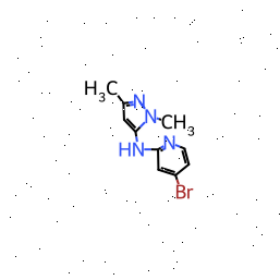 Cc1cc(Nc2cc(Br)ccn2)n(C)n1